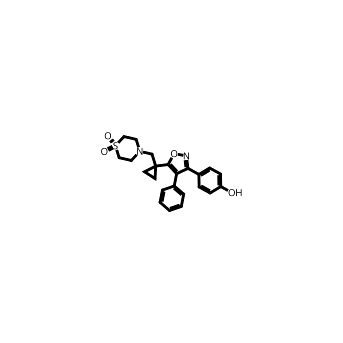 O=S1(=O)CCN(CC2(c3onc(-c4ccc(O)cc4)c3-c3ccccc3)CC2)CC1